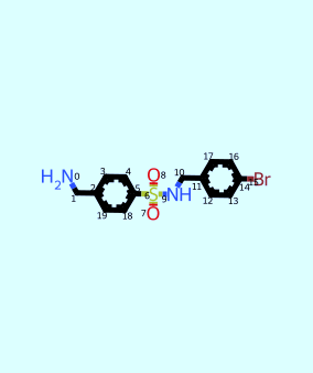 NCc1ccc(S(=O)(=O)NCc2ccc(Br)cc2)cc1